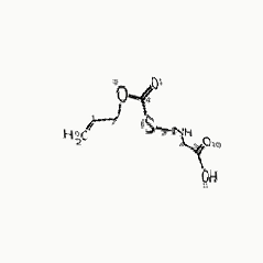 C=CCOC(=O)SNCC(=O)O